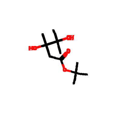 CC(C)(C)OC(=O)CC(C)(O)C(C)(C)O